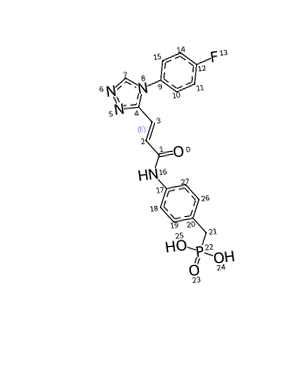 O=C(/C=C/c1nncn1-c1ccc(F)cc1)Nc1ccc(CP(=O)(O)O)cc1